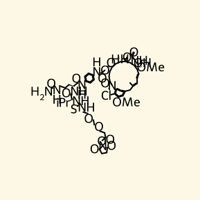 COc1cc2cc(c1Cl)N(C)C(=O)C[C@H](OC(=O)Nc1ccc(NC(=O)[C@H](CCCNC(N)=O)NC(=O)[C@@H](NC(=S)NCCOCCOCCC(=O)ON3C(=O)CCC3=O)C(C)C)cc1)[C@]1(C)O[C@H]1[C@H](C)[C@@H]1C[C@@](O)(NC(=O)O1)[C@H](OC)/C=C/C=C(\C)C2